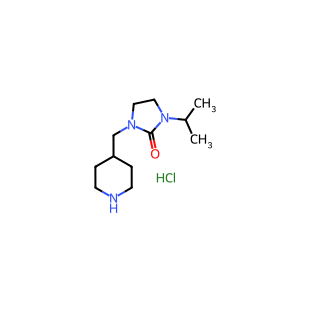 CC(C)N1CCN(CC2CCNCC2)C1=O.Cl